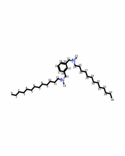 CCCCCCCCCCCCCN(C)Cc1cccc(CN(C)CCCCCCCCCCCCC)c1